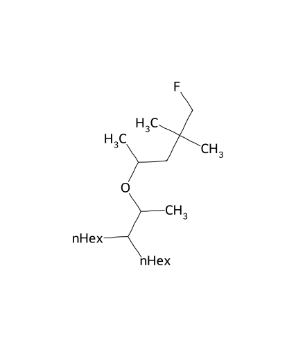 CCCCCCC(CCCCCC)C(C)OC(C)CC(C)(C)CF